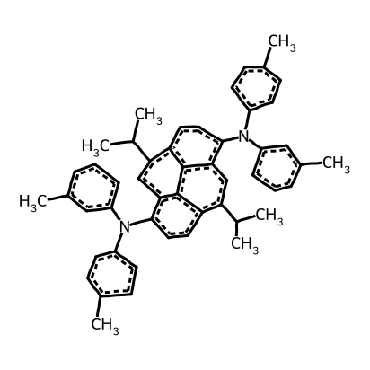 Cc1ccc(N(c2cccc(C)c2)c2ccc3c(C(C)C)cc4c(N(c5ccc(C)cc5)c5cccc(C)c5)ccc5c(C(C)C)cc2c3c54)cc1